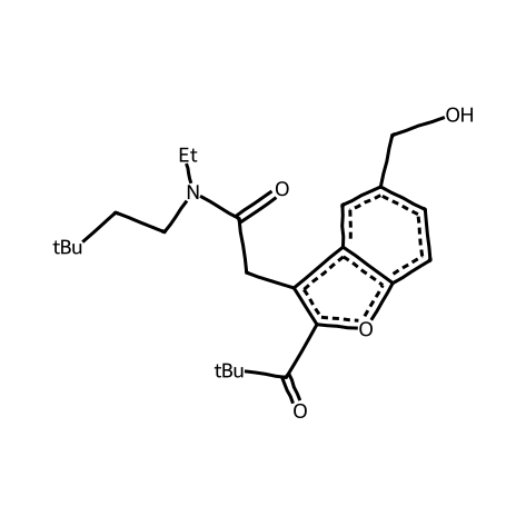 CCN(CCC(C)(C)C)C(=O)Cc1c(C(=O)C(C)(C)C)oc2ccc(CO)cc12